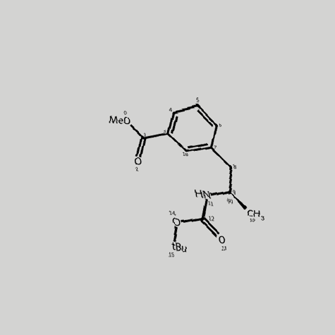 COC(=O)c1cccc(C[C@@H](C)NC(=O)OC(C)(C)C)c1